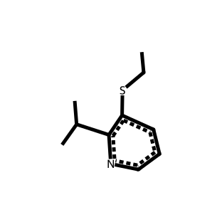 CCSc1cccnc1C(C)C